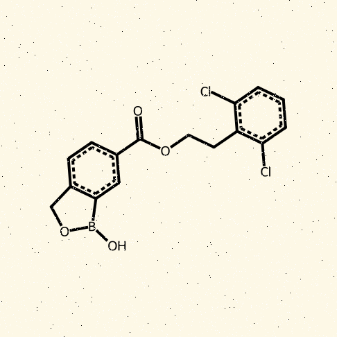 O=C(OCCc1c(Cl)cccc1Cl)c1ccc2c(c1)B(O)OC2